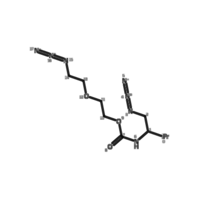 CC(C)C(CN=[N+]=[N-])NC(=O)OCCOCCN=[N+]=[N-]